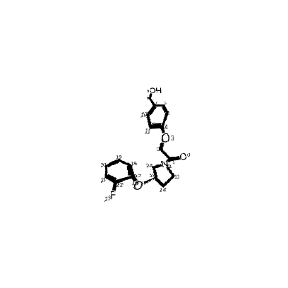 O=C(COc1ccc(CO)cc1)N1CC[C@@H](Oc2ccccc2F)C1